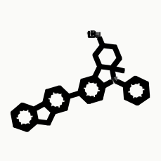 CC(C)(C)C1CCC2(C)C(C1)c1cc(-c3ccc4c(c3)Cc3ccccc3-4)ccc1N2c1ccccc1